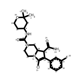 CC1(C)CC(NC(=O)N2CCN3C(Cl)=C(c4cccc(F)c4)C(C(N)=O)C3C2)CCO1